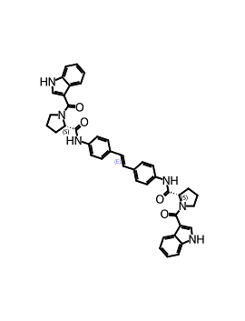 O=C(Nc1ccc(/C=C/c2ccc(NC(=O)[C@@H]3CCCN3C(=O)c3c[nH]c4ccccc34)cc2)cc1)[C@@H]1CCCN1C(=O)c1c[nH]c2ccccc12